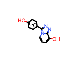 Oc1cccn2c(C34CCC(O)(CC3)CC4)nnc12